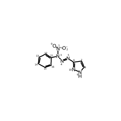 O=[N+]([O-])N(N=Nc1cc[nH]n1)c1ccccc1